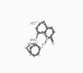 CCn1c(=O)ccc2cccc(OC)c21.Cl.c1cc2cc(c1)NC2